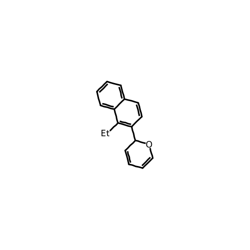 CCc1c(C2C=CC=CO2)ccc2ccccc12